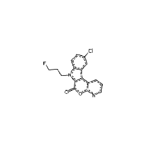 O=c1oc2ncccc2c2c3cc(Cl)ccc3n(CCCF)c12